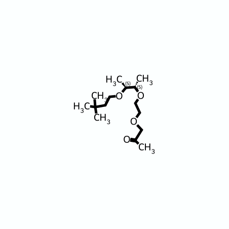 CC(=O)COCCO[C@@H](C)[C@H](C)OCCC(C)(C)C